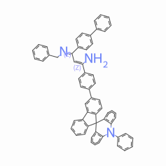 N/C(=C\C(=N/Cc1ccccc1)c1ccc(-c2ccccc2)cc1)c1ccc(-c2ccc3c(c2)-c2ccccc2C32c3ccccc3N(c3ccccc3)c3ccccc32)cc1